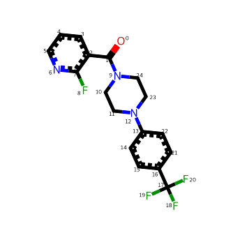 O=C(c1cccnc1F)N1CCN(c2ccc(C(F)(F)F)cc2)CC1